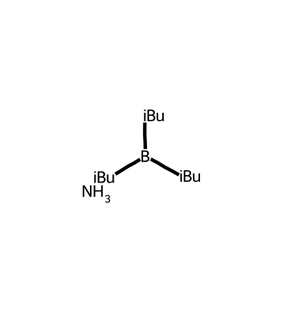 CCC(C)B(C(C)CC)C(C)CC.N